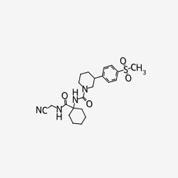 CS(=O)(=O)c1ccc(C2CCCN(C(=O)NC3(C(=O)NCC#N)CCCCC3)C2)cc1